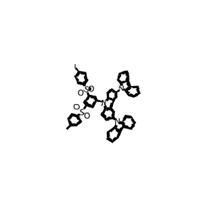 Cc1ccc(S(=O)(=O)c2cc(-n3c4ccc(-n5c6ccccc6c6ccccc65)cc4c4cc(-n5c6ccccc6c6ccccc65)ccc43)cc(S(=O)(=O)c3ccc(I)cc3)c2)cc1